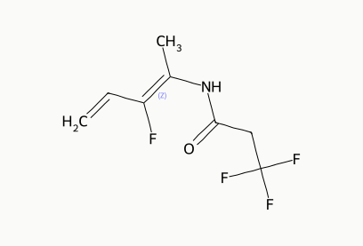 C=C/C(F)=C(\C)NC(=O)CC(F)(F)F